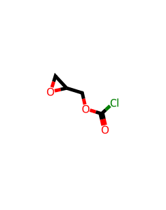 O=C(Cl)OCC1CO1